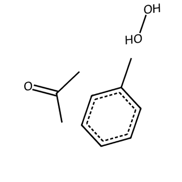 CC(C)=O.Cc1ccccc1.OO